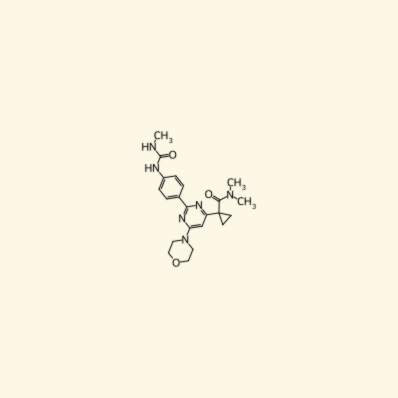 CNC(=O)Nc1ccc(-c2nc(N3CCOCC3)cc(C3(C(=O)N(C)C)CC3)n2)cc1